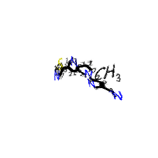 Cc1cc(C#N)cnc1N1CCc2ncc(-c3cncs3)cc2C1